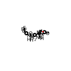 COc1cccc(Nc2c(C(N)=O)c(-c3ccc(NC(=O)Nc4ccc(OC(F)(F)F)cc4)cc3)nn2C(C)(C)C)c1